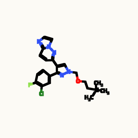 C[Si](C)(C)CCOCn1cc(-c2ccc3nccn3n2)c(-c2ccc(F)c(Cl)c2)n1